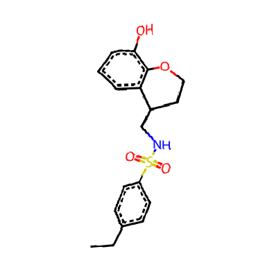 CCc1ccc(S(=O)(=O)NCC2CCOc3c(O)cccc32)cc1